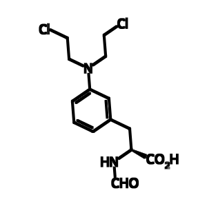 O=CN[C@@H](Cc1cccc(N(CCCl)CCCl)c1)C(=O)O